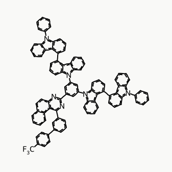 FC(F)(F)c1ccc(-c2cccc(-c3nc(-c4cc(-n5c6ccccc6c6c(-c7cccc8c7c7ccccc7n8-c7ccccc7)cccc65)cc(-n5c6ccccc6c6c(-c7cccc8c7c7ccccc7n8-c7ccccc7)cccc65)c4)nc4ccc5ccccc5c34)c2)cc1